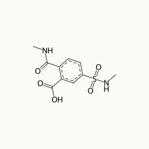 CNC(=O)c1ccc(S(=O)(=O)NC)cc1C(=O)O